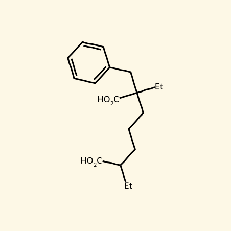 CCC(CCCC(CC)(Cc1ccccc1)C(=O)O)C(=O)O